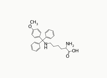 COc1ccc(C(NCCCCC(N)C(=O)O)(c2ccccc2)c2ccccc2)cc1